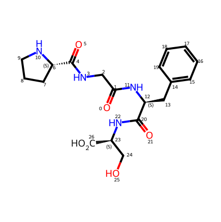 O=C(CNC(=O)[C@@H]1CCCN1)N[C@@H](Cc1ccccc1)C(=O)N[C@@H](CO)C(=O)O